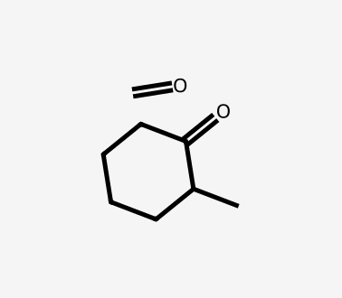 C=O.CC1CCCCC1=O